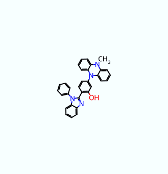 CN1c2ccccc2N(c2ccc(-c3nc4ccccc4n3-c3ccccc3)c(O)c2)c2ccccc21